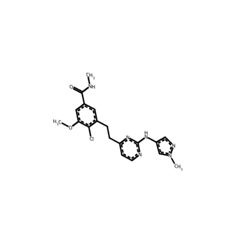 CNC(=O)c1cc(CCc2ccnc(Nc3cnn(C)c3)n2)c(Cl)c(OC)c1